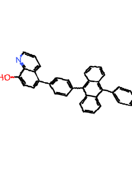 Oc1ccc(-c2ccc(-c3c4ccccc4c(-c4ccccc4)c4ccccc34)cc2)c2cccnc12